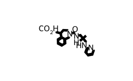 CC(C)(CNC(=O)N1CCC(CC(=O)O)c2ccccc2C1)CNc1ccccn1